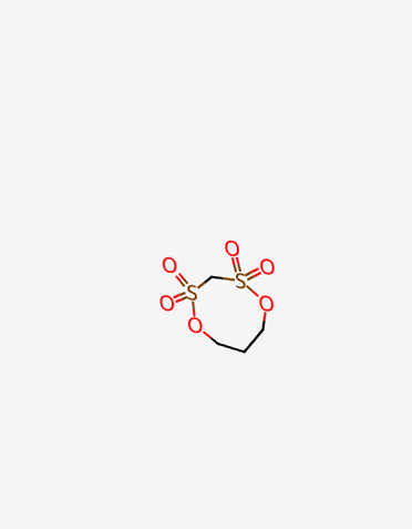 O=S1(=O)CS(=O)(=O)OCCCO1